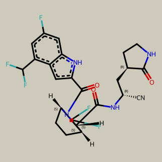 N#C[C@@H](C[C@H]1CCNC1=O)NC(=O)[C@@H]1[C@@H]2CC[C@@H](CC2(F)F)N1C(=O)c1cc2c(C(F)F)cc(F)cc2[nH]1